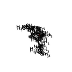 Cc1c(C)c(S(=O)(=O)NC(=N)NCCC[C@H](NC(=O)OCC2c3ccccc3-c3ccccc32)C(=O)N[C@@H](C)C(=O)N[C@@H](CC(=O)OC(C)(C)C)C(=O)N[C@@H](C)C(=O)N[C@@H](CCCNC(=N)NS(=O)(=O)c2c(C)c(C)c3c(c2C)CC(C)(C)O3)C(=O)N[C@@H](C)C(=O)N[C@@H](CC(=O)O)C(=O)O)c(C)c2c1OC(C)(C)C2